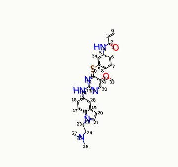 C=CC(=O)Nc1cccc(Sc2nc(Nc3ccc4c(ccn4CCN(C)C)c3)ncc2OC)c1